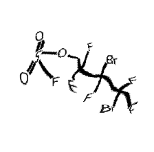 O=S(=O)(F)OC(F)(F)C(F)(Br)C(F)(F)Br